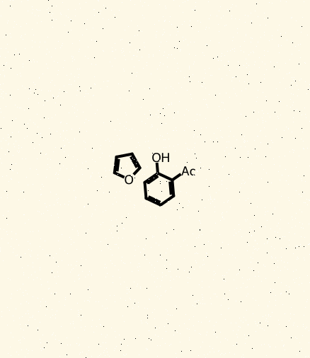 CC(=O)c1ccccc1O.c1ccoc1